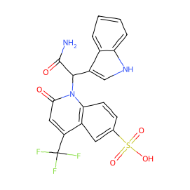 NC(=O)C(c1c[nH]c2ccccc12)n1c(=O)cc(C(F)(F)F)c2cc(S(=O)(=O)O)ccc21